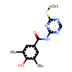 CCCCCCCCSc1ncnc(NC(=O)c2cc(C(C)(C)C)c(O)c(C(C)(C)C)c2)n1